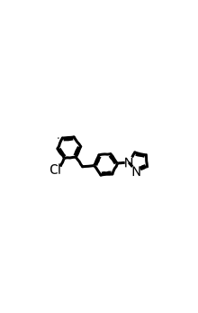 Clc1c[c]ccc1Cc1ccc(-n2cccn2)cc1